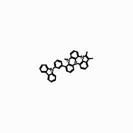 Cc1c(C)n2c3c(cccc13)B1c3cccc(-c4cccc(-n5c6ccccc6c6ccccc65)c4)c3N(C)c3cccc-2c31